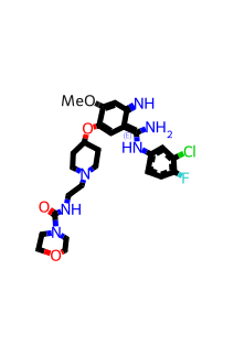 COC1=CC(=N)/C(=C(\N)Nc2ccc(F)c(Cl)c2)C=C1OC1CCN(CCNC(=O)N2CCOCC2)CC1